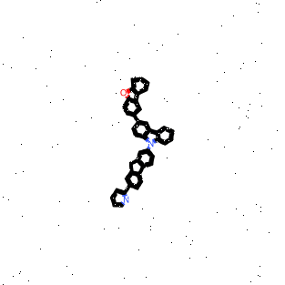 c1ccc(-c2ccc3c(c2)Cc2cc(-n4c5ccccc5c5cc(-c6ccc7oc8ccccc8c7c6)ccc54)ccc2-3)nc1